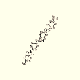 CC(=O)N1CCC2(CC1)CN(c1ccc(CNc3ccc(OCc4ccc(C(F)F)nc4)nn3)cn1)C2